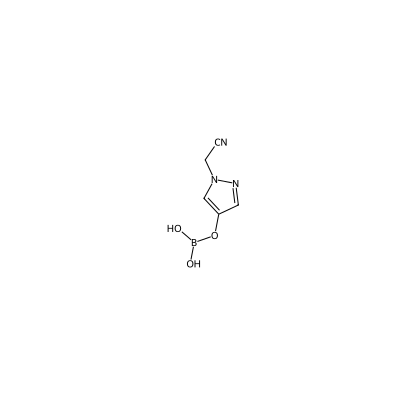 N#CCn1cc(OB(O)O)cn1